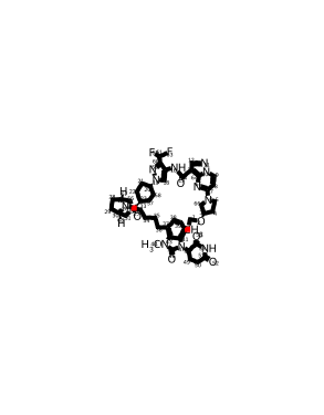 CCO[C@@H]1CCN(c2ccn3ncc(C(=O)Nc4cn([C@H]5CC[C@H](C(=O)N6[C@@H]7CC[C@H]6CN(CCCCc6cccc8c6n(C)c(=O)n8C6CCC(=O)NC6=O)C7)CC5)nc4C(F)F)c3n2)C1